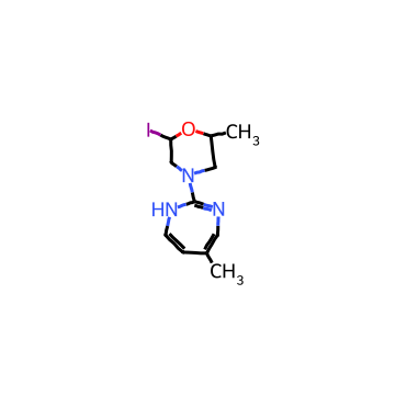 CC1=CN=C(N2CC(C)OC(I)C2)NC=C1